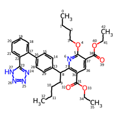 CCCCOc1nc(C(CCCC)c2ccc(-c3ccccc3-c3nnn[nH]3)cc2)c(C(=O)OCC)cc1C(=O)OCC